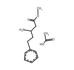 CC(=O)O.COC(=O)CC(N)CCc1ccccc1